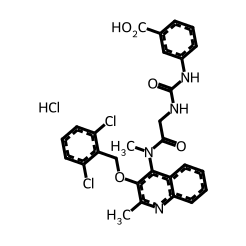 Cc1nc2ccccc2c(N(C)C(=O)CNC(=O)Nc2cccc(C(=O)O)c2)c1OCc1c(Cl)cccc1Cl.Cl